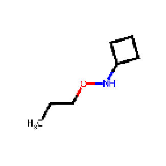 CCCONC1CCC1